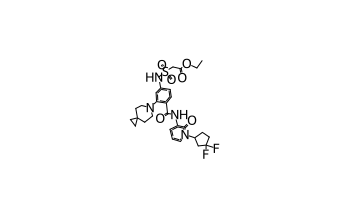 CCOC(=O)CS(=O)(=O)Nc1ccc(C(=O)Nc2cccn(C3CCC(F)(F)C3)c2=O)c(N2CCC3(CC2)CC3)c1